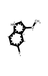 COc1c[nH]c2ccc(F)cc12